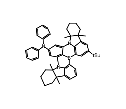 CC(C)(C)c1cc2c3c(c1)C1(C)CCCCC1(C)N3c1cc(N(c3ccccc3)c3ccccc3)cc3c1B2c1cccc2c1N3C1(C)CCCCC21C